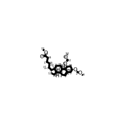 COCO[C@@H]1CC2=CC[C@H]3[C@@H]4CC[C@H]([C@H](C)CCCC(=O)OC)[C@@]4(C)CC[C@@H]3[C@@]2(C)[C@@H](OCOC)C1